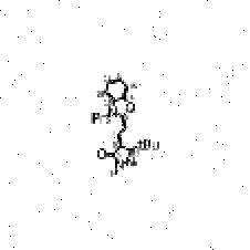 CC(C)N1/C(=C\C=C2\C(=O)N(C)N=C2C(C)(C)C)Oc2ccccc21